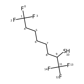 FC(F)(F)CCCCCC(S)C(F)(F)F